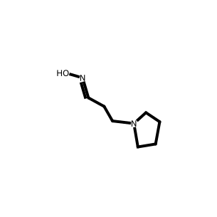 O/N=C/CCN1CCCC1